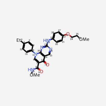 CCc1ccc(-n2cc(C(=O)NOC)c(=O)c3cnc(Nc4ccc(OCCOC)cc4)nc32)cc1